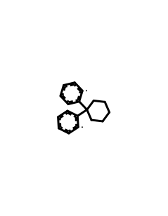 [c]1ccccc1C1(c2[c]cccc2)CCCCC1